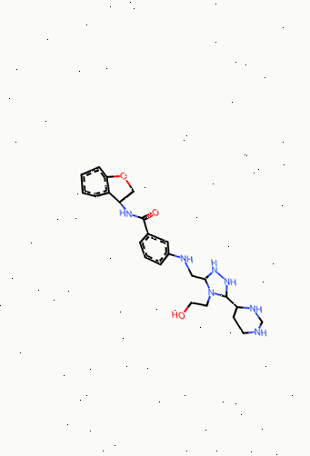 O=C(N[C@@H]1COc2ccccc21)c1cccc(NCC2NNC(C3CCNCN3)N2CCO)c1